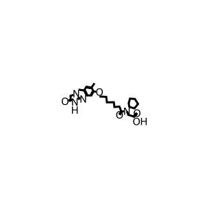 Cc1cc2c(cc1OCCCCCCC(=O)N(CC(=O)O)C1CCCCC1)N=C1NC(=O)CN1C2